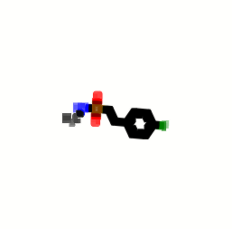 CNS(=O)(=O)CCc1ccc(F)cc1